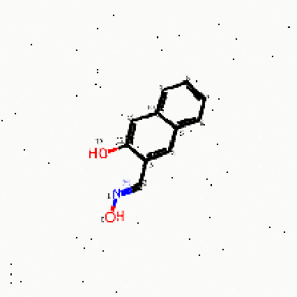 O/N=C/c1cc2ccccc2cc1O